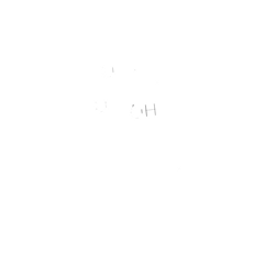 COC1(C(=O)O)C=CC=CC1c1ccc(C)cc1